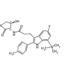 Cc1ccc(-c2[nH]c3c([Si](C)(C)C)cc(F)cc3c2CCC(=O)N[C@@H]2C(=O)NC[C@H]2O)cc1